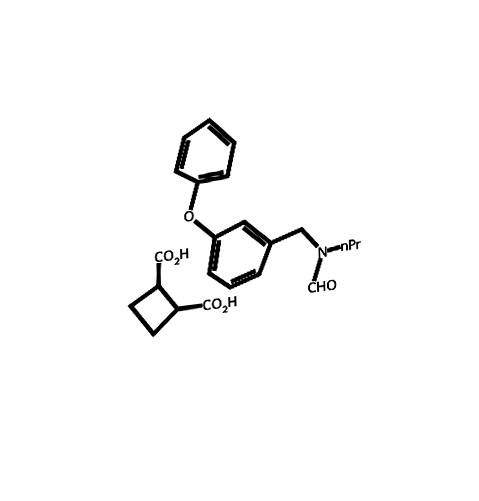 CCCN(C=O)Cc1cccc(Oc2ccccc2)c1.O=C(O)C1CCC1C(=O)O